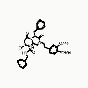 CCN1CC(=O)N2[C@@H](Cc3ccccc3)C(=O)N(CCc3ccc(OC)c(OC)c3)C[C@@H]2N1C(=O)NCc1ccccc1